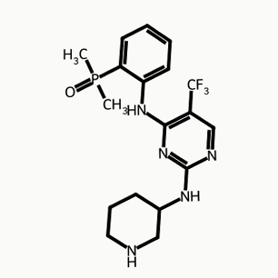 CP(C)(=O)c1ccccc1Nc1nc(NC2CCCNC2)ncc1C(F)(F)F